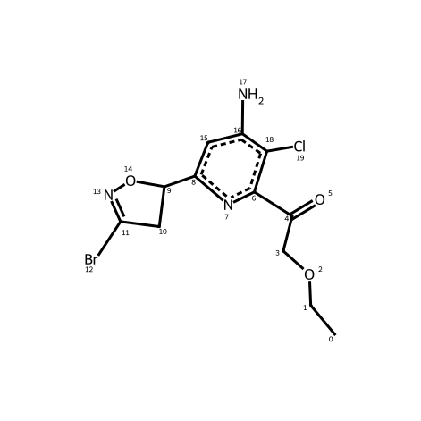 CCOCC(=O)c1nc(C2CC(Br)=NO2)cc(N)c1Cl